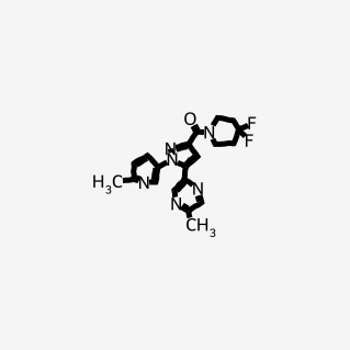 Cc1ccc(-n2nc(C(=O)N3CCC(F)(F)CC3)cc2-c2cnc(C)cn2)cn1